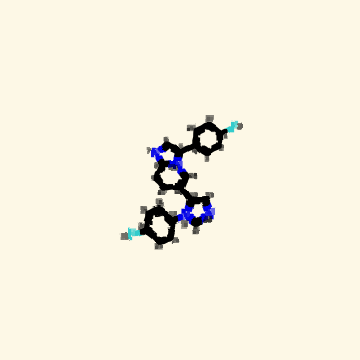 Fc1ccc(-c2cnc3ccc(-c4cncn4-c4ccc(F)cc4)cn23)cc1